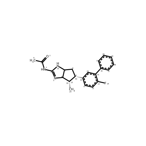 CC(=O)NC1=NC2C(C[C@H](c3ccc(F)c(-c4ccccc4)c3)[C@@H]2C)N1